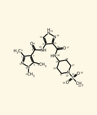 Cc1nn(C)c(C)c1C(=O)Nc1c[nH]nc1C(=O)NC1CCN(S(C)(=O)=O)CC1